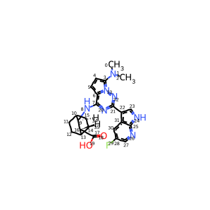 CN(C)c1ccc2c(N[C@@H]3C4CCC(CC4)[C@H]3C(=O)O)nc(-c3c[nH]c4ncc(F)cc34)nn12